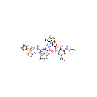 C=CCNC(=O)C(=O)C(CCC(F)(F)F)NC(=O)[C@@H]1[C@@H]2[C@H](CN1C(=O)[C@@H](NC(=O)N[C@H](CN(C)S(=O)(=O)c1cccs1)C(C)(C)C)C1(C)CCCCC1)C2(C)C